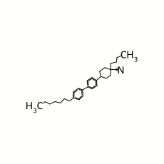 CCCCCCCc1ccc(-c2ccc(C3CCC(C#N)(CCCC)CC3)cc2)cc1